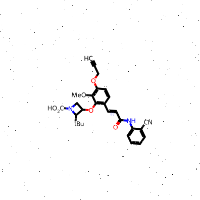 C#CCOc1ccc(/C=C/C(=O)Nc2ccccc2C#N)c(OC2CN(C(=O)O)C2C(C)(C)C)c1OC